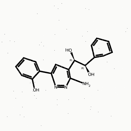 Nc1nnc(-c2ccccc2O)cc1[C@@H](O)[C@H](O)c1ccccc1